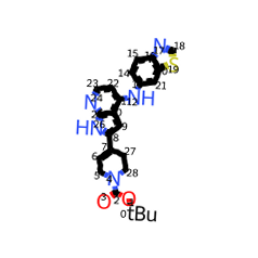 CC(C)(C)OC(=O)N1CC=C(c2cc3c(Nc4ccc5ncsc5c4)ccnc3[nH]2)CC1